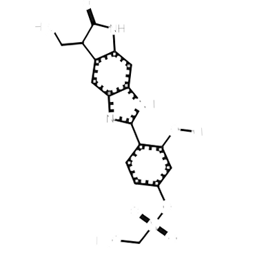 CCC1C(=O)Nc2cc3[nH]c(-c4ccc(OS(=O)(=O)CC)cc4OC)nc3cc21